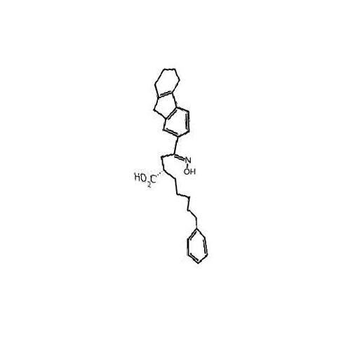 O=C(O)[C@@H](CCCCCc1ccccc1)CC(=NO)c1ccc2c(c1)CC1=C2CCCC1